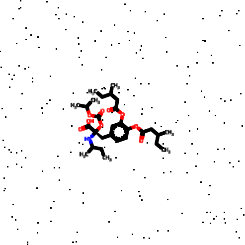 CCC(C)CC(=O)Oc1ccc(C[C@](NC(C)CC)(OC(=O)OC(C)C)C(=O)O)cc1OC(=O)CC(C)CC